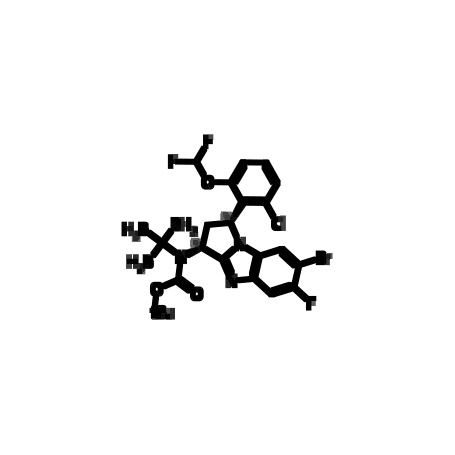 BC(B)(B)N(C(=O)OC(C)(C)C)[C@H]1C[C@@H](c2c(Cl)cccc2OC(F)F)n2c1nc1cc(F)c(Br)cc12